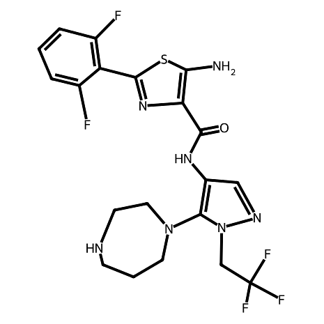 Nc1sc(-c2c(F)cccc2F)nc1C(=O)Nc1cnn(CC(F)(F)F)c1N1CCCNCC1